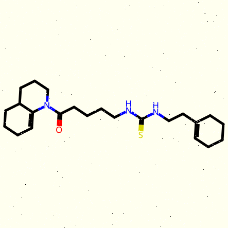 O=C(CCCCNC(=S)NCCC1=CCCCC1)N1CCCC2CCCC=C21